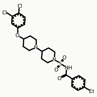 CCc1ccc(C(=O)NS(=O)(=O)N2CCC(N3CCC(Oc4ccc(Cl)c(Cl)c4)CC3)CC2)cc1